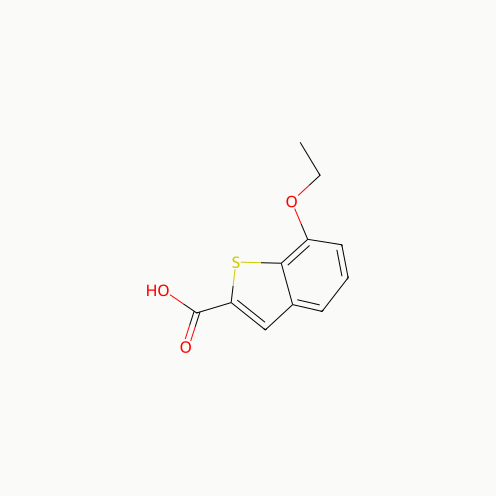 CCOc1cccc2cc(C(=O)O)sc12